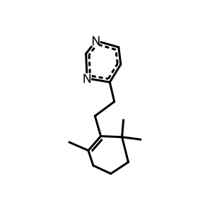 CC1=C(CCc2ccncn2)C(C)(C)CCC1